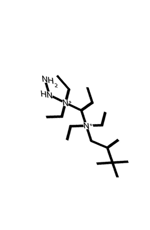 CCC([N+](CC)(CC)CC(C)C(C)(C)C)[N+](CC)(CC)NN